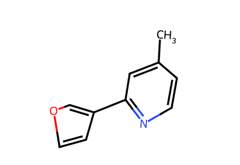 Cc1ccnc(-c2ccoc2)c1